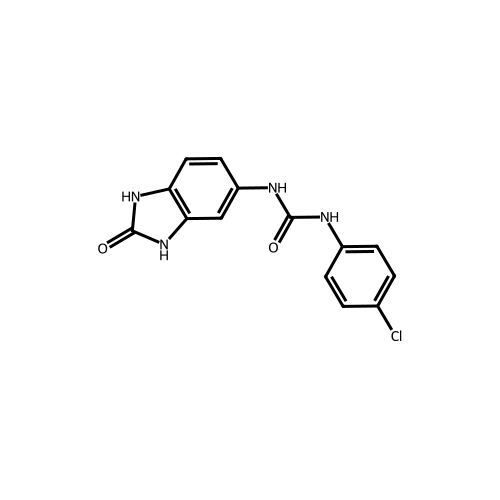 O=C(Nc1ccc(Cl)cc1)Nc1ccc2[nH]c(=O)[nH]c2c1